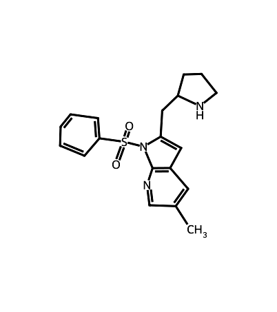 Cc1cnc2c(c1)cc(CC1CCCN1)n2S(=O)(=O)c1ccccc1